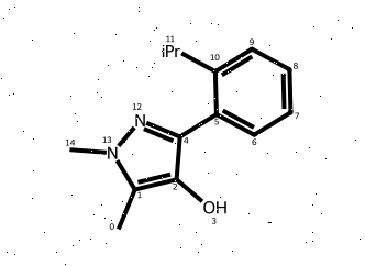 Cc1c(O)c(-c2ccccc2C(C)C)nn1C